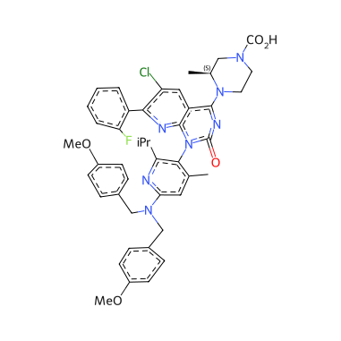 COc1ccc(CN(Cc2ccc(OC)cc2)c2cc(C)c(-n3c(=O)nc(N4CCN(C(=O)O)C[C@@H]4C)c4cc(Cl)c(-c5ccccc5F)nc43)c(C(C)C)n2)cc1